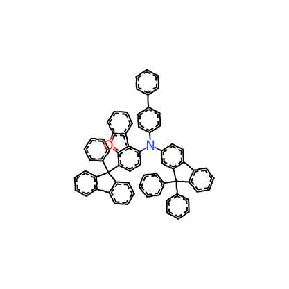 c1ccc(-c2ccc(N(c3ccc4c(c3)C(c3ccccc3)(c3ccccc3)c3ccccc3-4)c3ccc(C4(c5ccccc5)c5ccccc5-c5ccccc54)c4oc5ccccc5c34)cc2)cc1